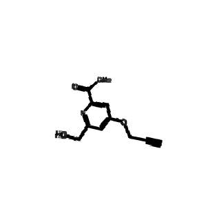 C#CCOc1cc(CO)nc(C(=O)OC)c1